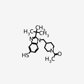 CC(=O)N1CCC(Cn2c(C(C)(C)C)nc3cc(S)ccc32)CC1